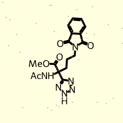 COC(=O)C(CCCN1C(=O)c2ccccc2C1=O)(NC(C)=O)c1nn[nH]n1